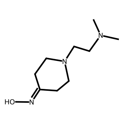 CN(C)CCN1CCC(=NO)CC1